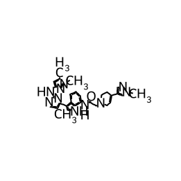 Cc1cnc(Nc2cc(C)n(C)n2)nc1-c1c[nH]c2c(NC(=O)CN3CC=C(c4cnn(C)c4)CC3)cccc12